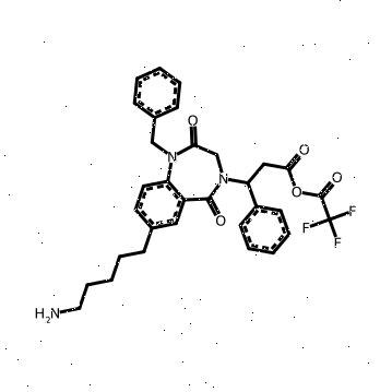 NCCCCCc1ccc2c(c1)C(=O)N(C(CC(=O)OC(=O)C(F)(F)F)c1ccccc1)CC(=O)N2Cc1ccccc1